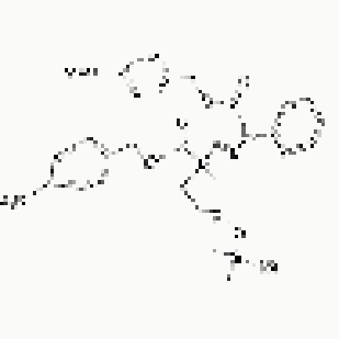 COc1ccc(COC(=O)N(N=C[N+]2(C(=O)OCc3ccc([N+](=O)[O-])cc3)CC[C@@H](O[Si](C)(C)C(C)(C)C)C2)c2ccccc2)cc1